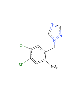 O=[N+]([O-])c1cc(Cl)c(Cl)cc1Cn1cncn1